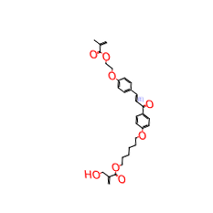 C=C(C)C(=O)OCCOc1ccc(/C=C/C(=O)c2ccc(OCCCCCCOC(=O)C(=C)CO)cc2)cc1